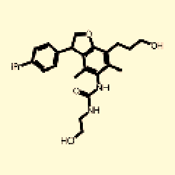 Cc1c(CCCO)c2c(c(C)c1NC(=O)NCCO)C(c1ccc(C(C)C)cc1)CO2